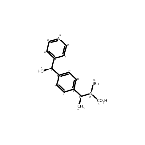 C[C@@H](c1ccc([C@@H](O)c2ccncc2)cc1)N(C(=O)O)C(C)(C)C